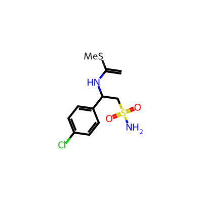 C=C(NC(CS(N)(=O)=O)c1ccc(Cl)cc1)SC